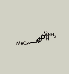 COCCCCCCCN1CCN(c2ccc(C(=O)NN)cc2)CC1